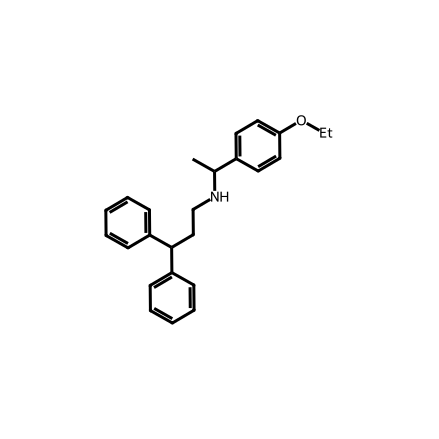 CCOc1ccc(C(C)NCCC(c2ccccc2)c2ccccc2)cc1